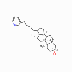 CC[C@]1(O)CCC2(C)C(=CCC3[C@@H]2CCC2(C)C(CCCCc4cccnc4)CC[C@@H]32)C1